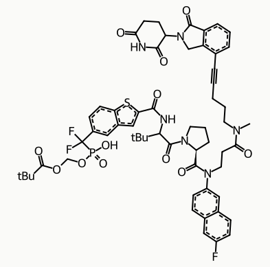 CN(CCCC#Cc1cccc2c1CN(C1CCC(=O)NC1=O)C2=O)C(=O)CCN(C(=O)[C@@H]1CCCN1C(=O)C(NC(=O)c1cc2cc(C(F)(F)P(=O)(O)OCOC(=O)C(C)(C)C)ccc2s1)C(C)(C)C)c1ccc2cc(F)ccc2c1